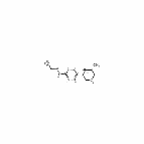 C[C@@H]1COC[C@H](c2ccc(OCCC(F)(F)F)nn2)N1